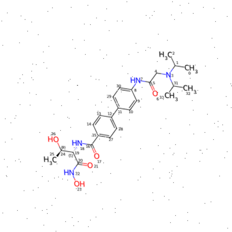 CC(C)N(CC(=O)Nc1ccc(-c2ccc(C(=O)N[C@H](C(=O)NO)[C@@H](C)O)cc2)cc1)C(C)C